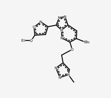 CCOc1cc(-c2nnc3cc(C(C)(C)C)c(OCc4cn(C)nn4)nn23)no1